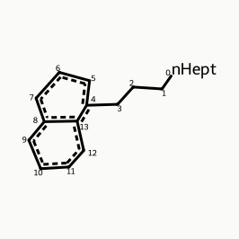 CCCCCCCCCCc1cccc2ccccc12